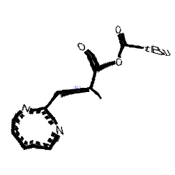 C/C(=C\c1ncccn1)C(=O)OC(=O)C(C)(C)C